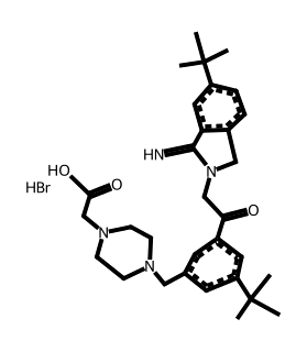 Br.CC(C)(C)c1cc(CN2CCN(CC(=O)O)CC2)cc(C(=O)CN2Cc3ccc(C(C)(C)C)cc3C2=N)c1